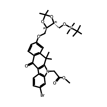 COC(=O)Cn1c2c(c3ccc(Br)cc31)C(=O)c1ccc(OC[C@H]3OC(C)(C)O[C@@H]3CO[Si](C)(C)C(C)(C)C)cc1C2(C)C